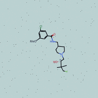 COc1cc(Cl)cc(C(=O)NCC2CCN(C[C@@H](O)C(C)(C)CF)CC2)c1